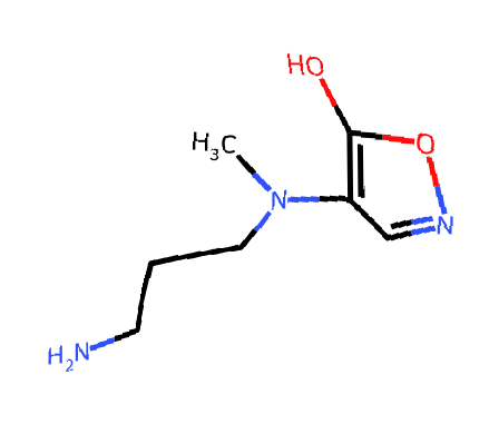 CN(CCCN)c1cnoc1O